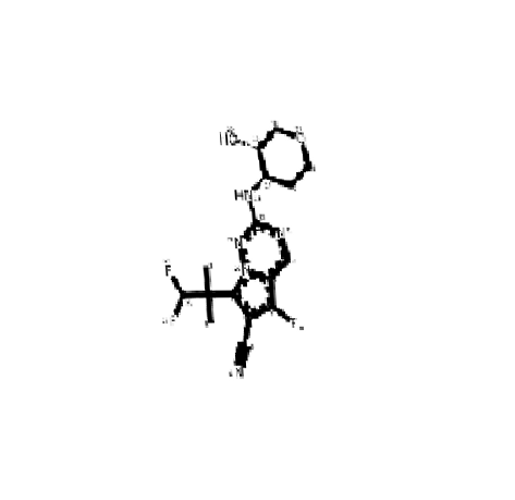 CC(C)(c1c(C#N)c(F)c2cnc(N[C@@H]3CCOC[C@H]3O)nn12)C(F)F